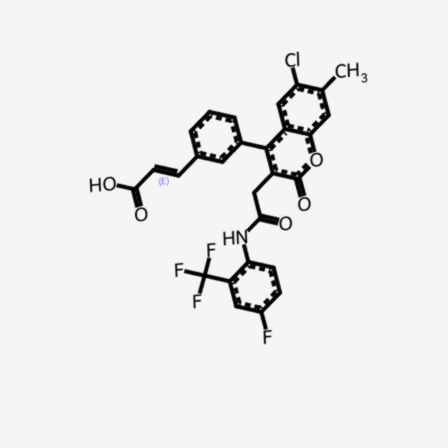 Cc1cc2oc(=O)c(CC(=O)Nc3ccc(F)cc3C(F)(F)F)c(-c3cccc(/C=C/C(=O)O)c3)c2cc1Cl